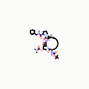 CN(C)C(=O)O[C@@H]1C[C@H]2C(=O)N[C@]3(C(=O)N4CCC[C@@H]4C(=O)NCc4ccccc4)C[C@H]3/C=C\CCCCC[C@H](NC(=O)OC(C)(C)C)C(=O)N2C1